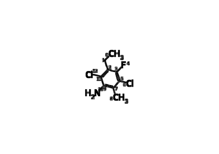 CCc1c(F)c(Cl)c(C)c(N)c1Cl